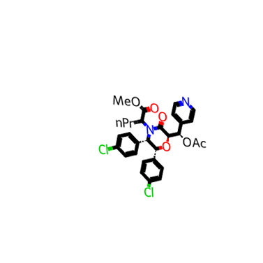 CCCC(C(=O)OC)N1C(=O)[C@@H]([C@@H](OC(C)=O)c2ccncc2)O[C@H](c2ccc(Cl)cc2)[C@@H]1c1ccc(Cl)cc1